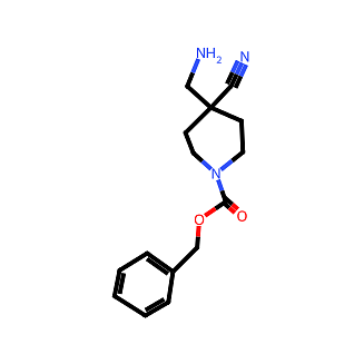 N#CC1(CN)CCN(C(=O)OCc2ccccc2)CC1